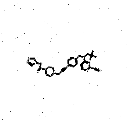 CC(C)(C)CN(Cc1ccc(C#CCN2CCC(C(=O)Nn3cnnc3)CC2)cc1)c1ccnc(C#N)n1